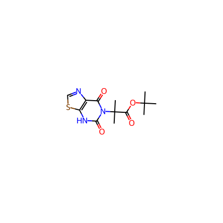 CC(C)(C)OC(=O)C(C)(C)n1c(=O)[nH]c2scnc2c1=O